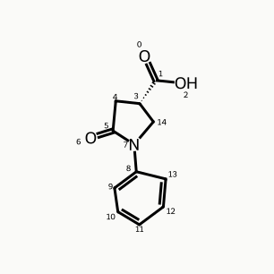 O=C(O)[C@H]1CC(=O)N(c2ccccc2)C1